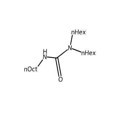 CCCCCCCCNC(=O)N(CCCCCC)CCCCCC